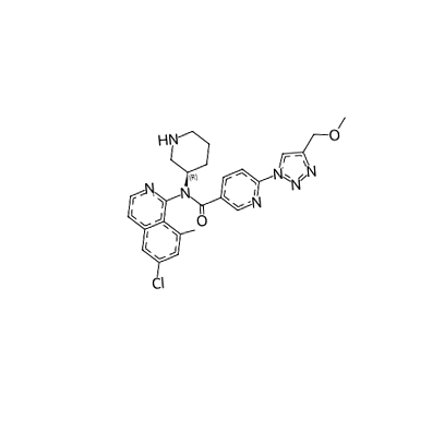 COCc1cn(-c2ccc(C(=O)N(c3nccc4cc(Cl)cc(C)c34)[C@@H]3CCCNC3)cn2)nn1